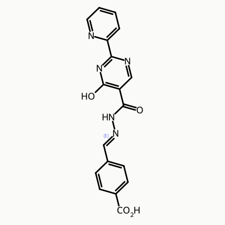 O=C(O)c1ccc(/C=N/NC(=O)c2cnc(-c3ccccn3)nc2O)cc1